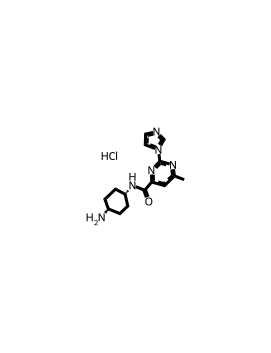 Cc1cc(C(=O)N[C@H]2CC[C@H](N)CC2)nc(-n2ccnc2)n1.Cl